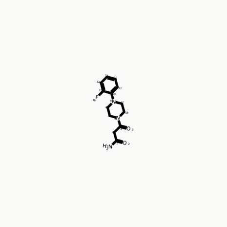 NC(=O)CC(=O)N1CCN(c2ccccc2F)CC1